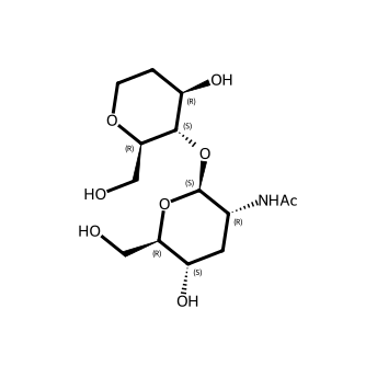 CC(=O)N[C@@H]1C[C@H](O)[C@@H](CO)O[C@H]1O[C@H]1[C@H](O)CCO[C@@H]1CO